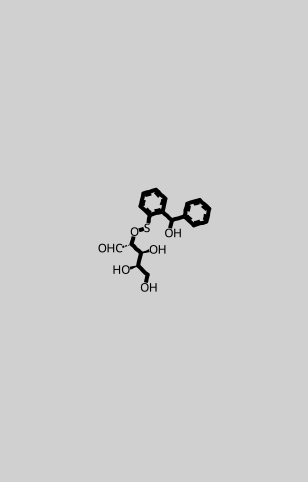 O=C[C@H](OSc1ccccc1C(O)c1ccccc1)[C@@H](O)[C@H](O)CO